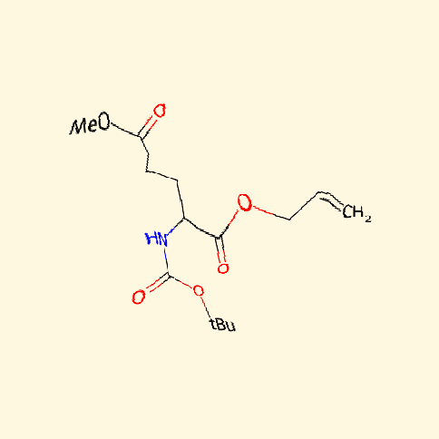 C=CCOC(=O)C(CCC(=O)OC)NC(=O)OC(C)(C)C